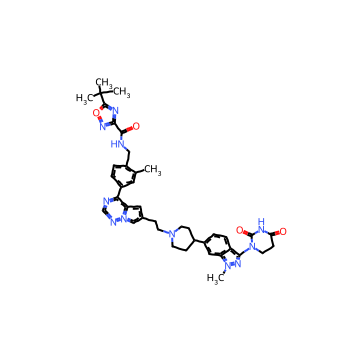 Cc1cc(-c2ncnn3cc(CCN4CCC(c5ccc6c(N7CCC(=O)NC7=O)nn(C)c6c5)CC4)cc23)ccc1CNC(=O)c1noc(C(C)(C)C)n1